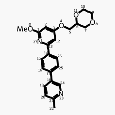 COc1cc(OCC2COCCO2)cc(-c2ccc(-c3ccc(C)nc3)cc2)n1